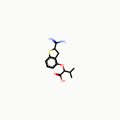 CC(C)C(Oc1cccc2c1CC(C(=N)N)S2)C(=O)O